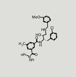 CCCN(CCC)C(=O)c1cc(C)cc(C(=O)N[C@@H](Cc2cccc(Cl)c2)[C@H](O)CNCc2cccc(OC)c2)c1